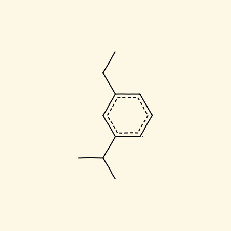 CCc1cc[c]c(C(C)C)c1